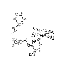 CCOC(=O)C(CC)(CC)N(C=O)c1ccc(Br)c(OC[C@H]2C[C@@H]2COCc2ccccc2)n1